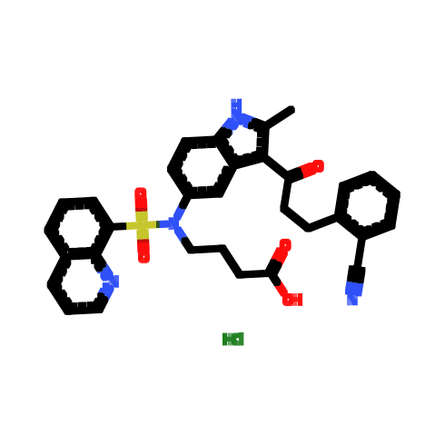 Cc1[nH]c2ccc(N(CCCC(=O)O)S(=O)(=O)c3cccc4cccnc34)cc2c1C(=O)CCc1ccccc1C#N.Cl